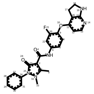 Cc1c(C(=O)Nc2ccc(Oc3ccnc4c3CCN4)c(F)c2)c(=O)n(-c2ccccc2)n1C